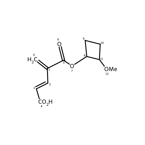 C=C(C=CC(=O)O)C(=O)OC1CCC1OC